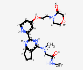 CC(C)NC(=O)CN(C)c1nc(-c2cc(OCCN3CCOCC3=O)ccn2)nc2c1CCC2